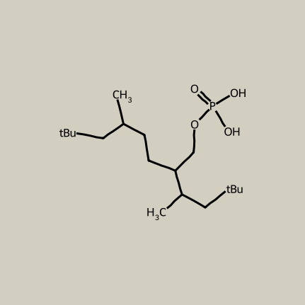 CC(CCC(COP(=O)(O)O)C(C)CC(C)(C)C)CC(C)(C)C